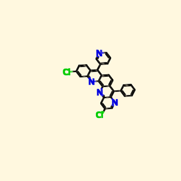 Clc1ccc2c(-c3cccnc3)c3ccc4c(-c5ccccc5)c5ncc(Cl)cc5nc4c3nc2c1